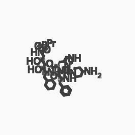 CCCS(=O)(=O)NC[C@@H](O)C[C@H](O)[C@H](CC1CCCCC1)NC(=O)[C@H](Cc1c[nH]cn1)NC(=O)[C@H](Cc1ccccc1)NC(=O)N1CCC(N)CC1